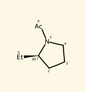 CC[C@@H]1CCCN1C(C)=O